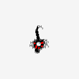 CCCCCOc1ccc(-c2ccc(-c3ccc(C(=O)N[C@H]4C[C@@H](O)[C@@H](OCCC)NC(=O)[C@@H]5[C@@H](O)[C@@H](C)CN5C(=O)[C@H]([C@@H](C)O)NC(=O)[C@H]([C@H](O)[C@@H](O)c5ccc(O)c([N+](=O)[O-])c5)NC(=O)[C@@H]5C[C@@H](O)CN5C(=O)[C@H]([C@@H](C)O)NC4=O)cc3)cc2)cc1